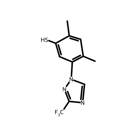 Cc1cc(C)c(-n2cnc(C(F)(F)F)n2)cc1S